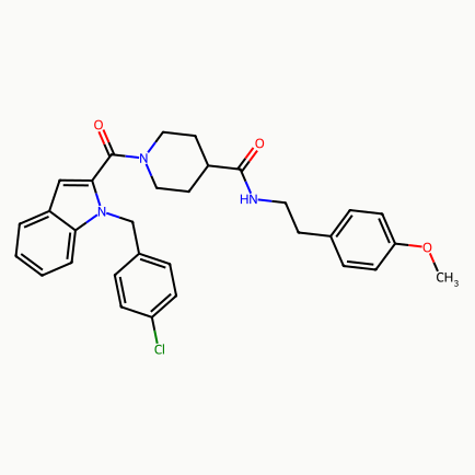 COc1ccc(CCNC(=O)C2CCN(C(=O)c3cc4ccccc4n3Cc3ccc(Cl)cc3)CC2)cc1